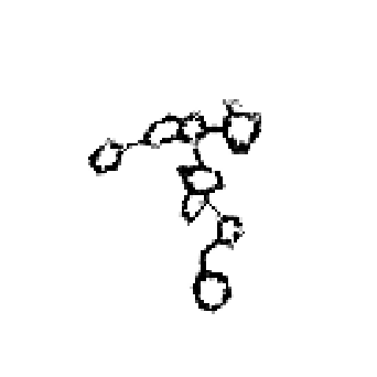 Nc1ncccc1-c1nc2ccc(-n3cccn3)nc2n1-c1ccc2c(c1)CC[C@@H]2n1cnnc1Cc1ccccc1